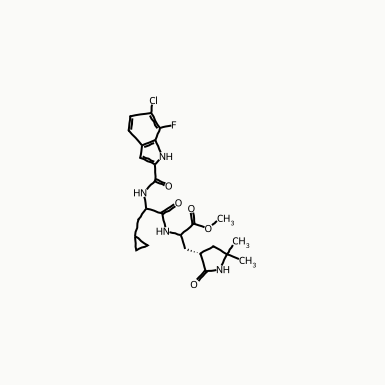 COC(=O)C(C[C@@H]1CC(C)(C)NC1=O)NC(=O)C(CC1CC1)NC(=O)c1cc2ccc(Cl)c(F)c2[nH]1